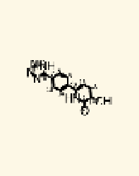 O=c1[nH]c(-c2ccc(-c3nnn[nH]3)cc2)ccc1O